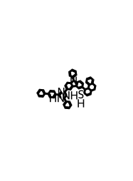 SC1C=CC2CCc3ccccc3C2C1c1ccc2c(c1)C1=CC(C3N=C(c4ccc(-c5ccccc5)cc4)NC(c4ccccc4)N3)=CCC1N2c1ccccc1